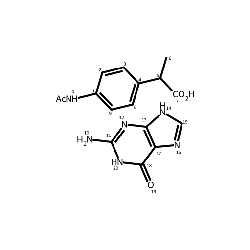 CC(=O)Nc1ccc(C(C)C(=O)O)cc1.Nc1nc2[nH]cnc2c(=O)[nH]1